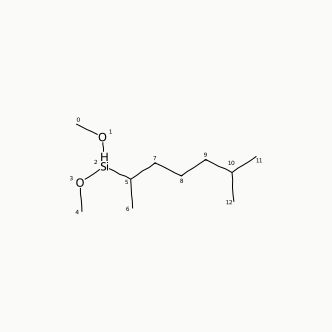 CO[SiH](OC)C(C)CCCC(C)C